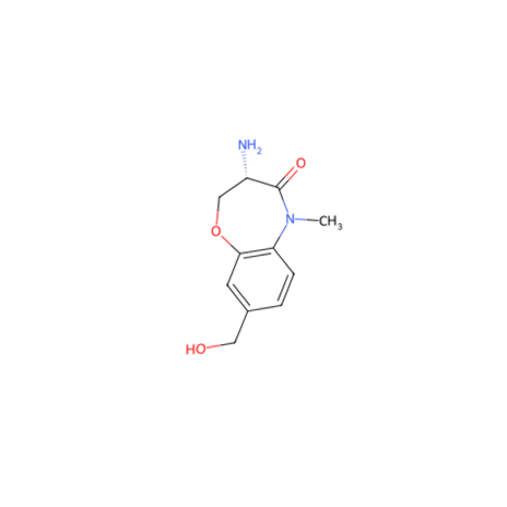 CN1C(=O)[C@@H](N)COc2cc(CO)ccc21